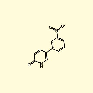 O=c1ccc(-c2cccc([N+](=O)[O-])c2)c[nH]1